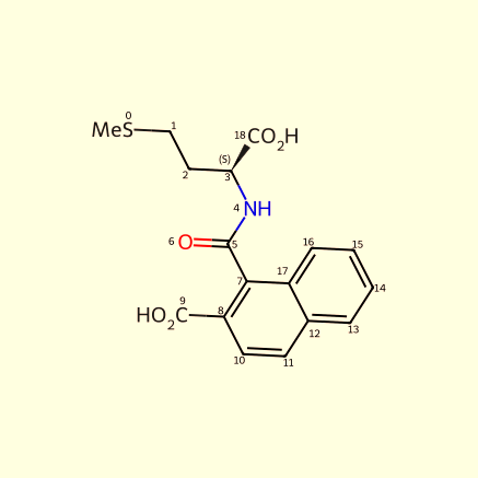 CSCC[C@H](NC(=O)c1c(C(=O)O)ccc2ccccc12)C(=O)O